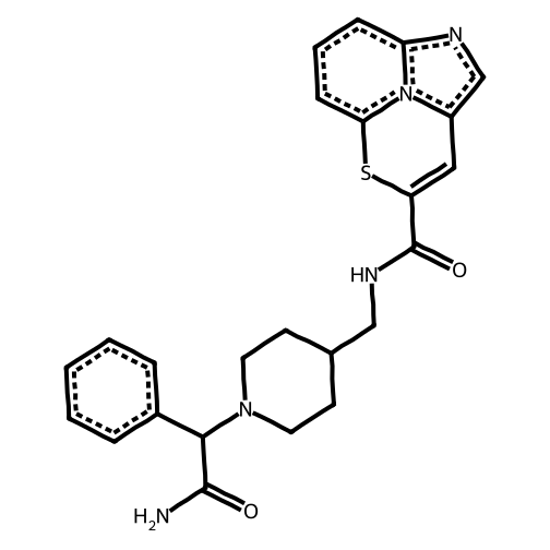 NC(=O)C(c1ccccc1)N1CCC(CNC(=O)C2=Cc3cnc4cccc(n34)S2)CC1